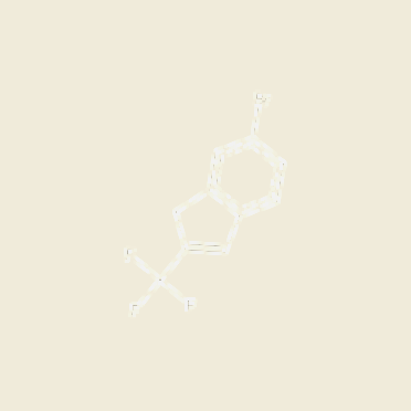 FC(F)(F)C1=Cc2ccc(Br)cc2C1